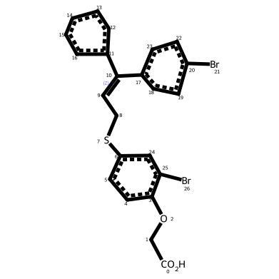 O=C(O)COc1ccc(SC/C=C(/c2ccccc2)c2ccc(Br)cc2)cc1Br